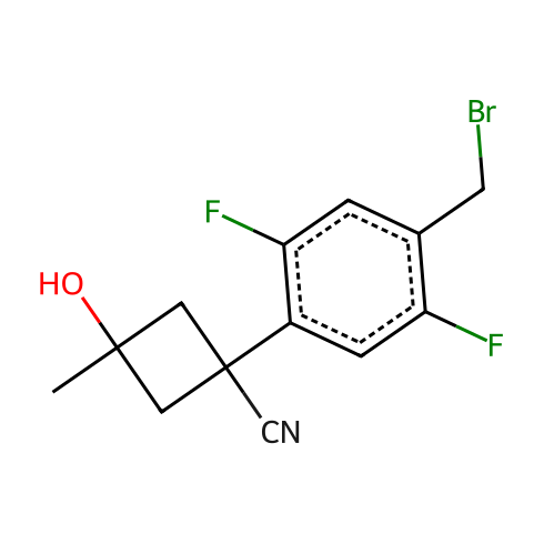 CC1(O)CC(C#N)(c2cc(F)c(CBr)cc2F)C1